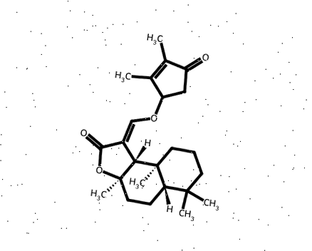 CC1=C(C)C(O/C=C2/C(=O)O[C@]3(C)CC[C@H]4C(C)(C)CCC[C@]4(C)[C@@H]23)CC1=O